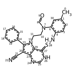 Cc1ccc(N)c(N(C=O)CCn2c(-c3ccccc3)c(C#N)c3nc[nH]c(=S)c32)c1